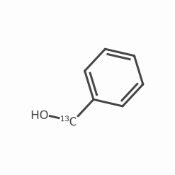 O[13CH2]c1ccccc1